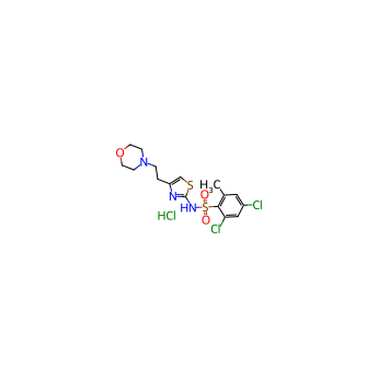 Cc1cc(Cl)cc(Cl)c1S(=O)(=O)Nc1nc(CCN2CCOCC2)cs1.Cl